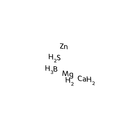 B.S.[CaH2].[MgH2].[Zn]